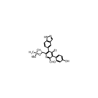 CCc1c(-c2ccc(O)cc2)c(C=O)nc(CO[Si](C)(C)C(C)(C)C)c1-c1ccc2[nH]ncc2c1